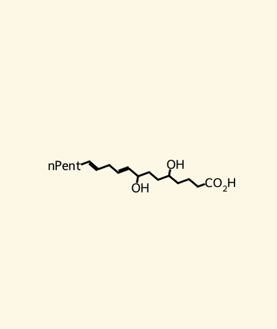 CCCCCC=CCC=CC(O)CCC(O)CCCC(=O)O